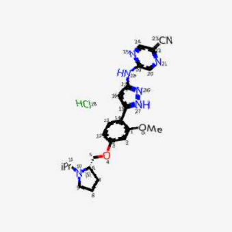 COc1cc(OC[C@@H]2CCCN2C(C)C)ccc1-c1cc(Nc2cnc(C#N)cn2)n[nH]1.Cl